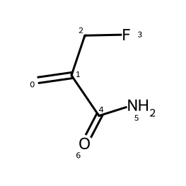 C=C(CF)C(N)=O